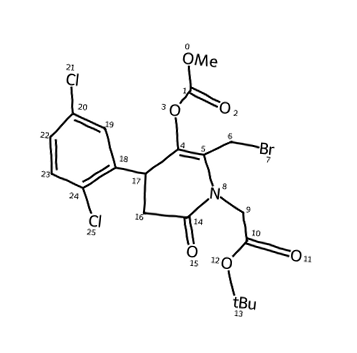 COC(=O)OC1=C(CBr)N(CC(=O)OC(C)(C)C)C(=O)CC1c1cc(Cl)ccc1Cl